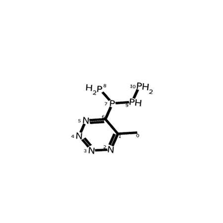 Cc1nnnnc1P(P)PP